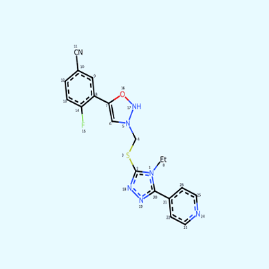 CCn1c(SCN2C=C(c3cc(C#N)ccc3F)ON2)nnc1-c1ccncc1